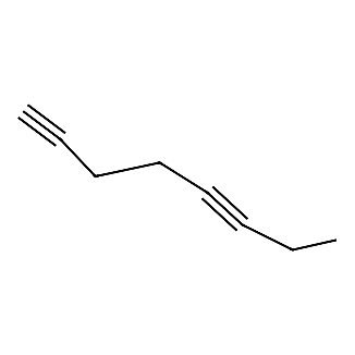 C#CCCC#CCC